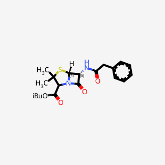 CC(C)COC(=O)C1N2C(=O)[C@@H](NC(=O)Cc3ccccc3)[C@H]2SC1(C)C